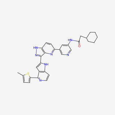 Cc1ccc(-c2nccc3[nH]c(-c4n[nH]c5ccc(-c6cncc(NC(=O)CC7CCCCC7)c6)nc45)cc23)s1